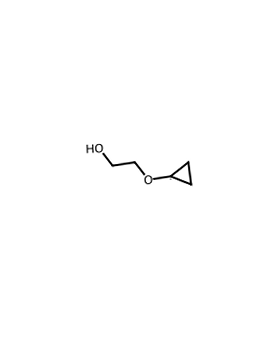 OCCO[C]1CC1